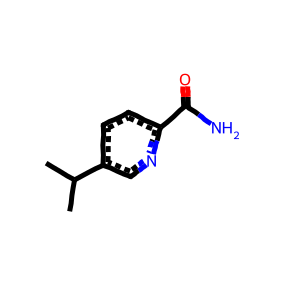 CC(C)c1ccc(C(N)=O)nc1